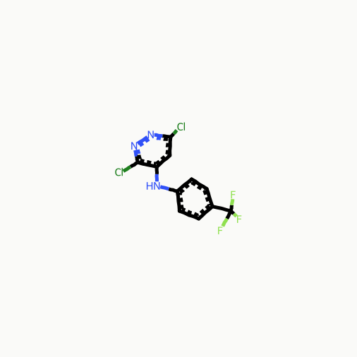 FC(F)(F)c1ccc(Nc2cc(Cl)nnc2Cl)cc1